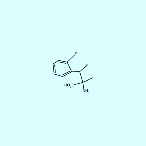 CC(N)(C(=O)O)C(F)c1ccccc1F